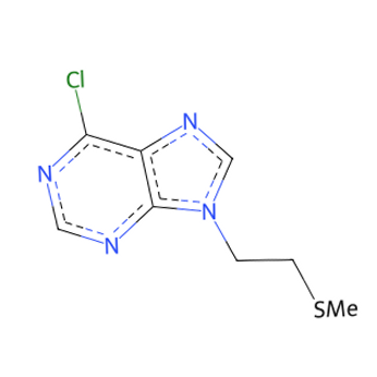 CSCCn1cnc2c(Cl)ncnc21